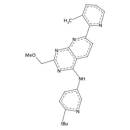 COCc1nc(Nc2ccc(C(C)(C)C)nc2)c2ccc(-c3ncccc3C)nc2n1